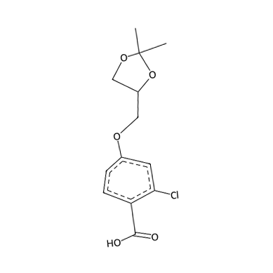 CC1(C)OCC(COc2ccc(C(=O)O)c(Cl)c2)O1